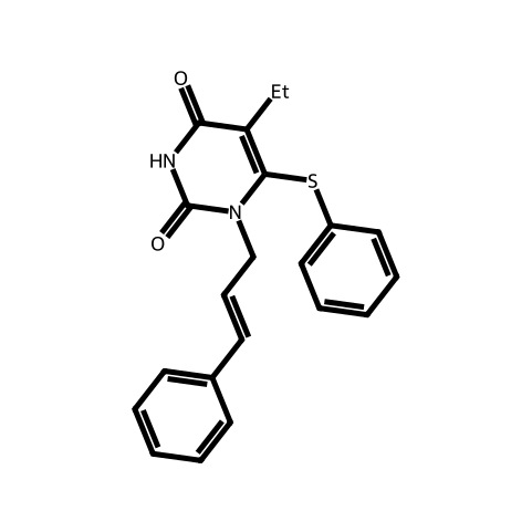 CCc1c(Sc2ccccc2)n(C/C=C/c2ccccc2)c(=O)[nH]c1=O